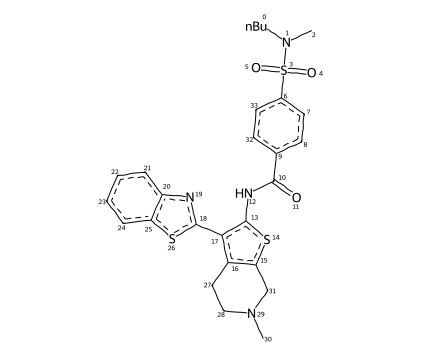 CCCCN(C)S(=O)(=O)c1ccc(C(=O)Nc2sc3c(c2-c2nc4ccccc4s2)CCN(C)C3)cc1